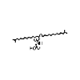 CC(C)CCCCCCCCCCCOC(CCCCCCCCCCCC(C)C)CC(=O)NCC(=O)O